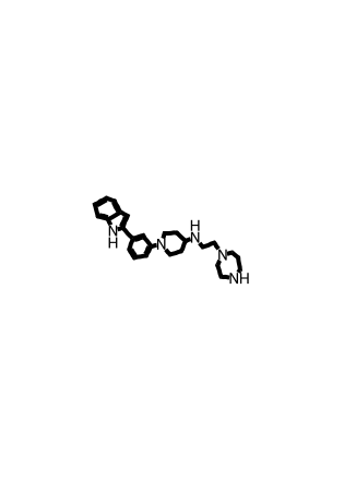 c1cc(-c2cc3ccccc3[nH]2)cc(N2CCC(NCCN3CCCNCC3)CC2)c1